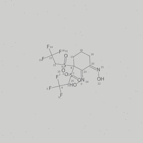 O=S(=O)(CC(F)(F)F)C1(S(=O)(=O)CC(F)(F)F)CCCC(=NO)C1=NO